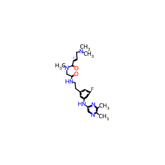 Cc1ncc(Nc2cc(F)cc(CCNC(=O)CN(C)C(=O)/C=C/CN(C)C)c2)nc1C